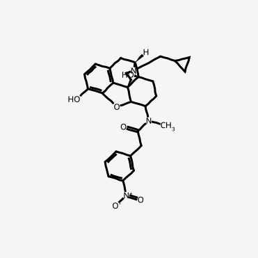 CN(C(=O)Cc1cccc([N+](=O)[O-])c1)C1CC[C@@]2(O)[C@H]3Cc4ccc(O)c5c4[C@@]2(CCN3CC2CC2)C1O5